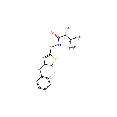 CC(=O)O[C@@H](C(=O)O)[C@@H](OC(C)=O)C(=O)NCC1=CC(Cc2ccccc2Cl)CS1